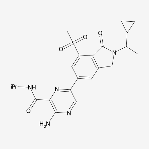 CC(C)NC(=O)c1nc(-c2cc3c(c(S(C)(=O)=O)c2)C(=O)N(C(C)C2CC2)C3)cnc1N